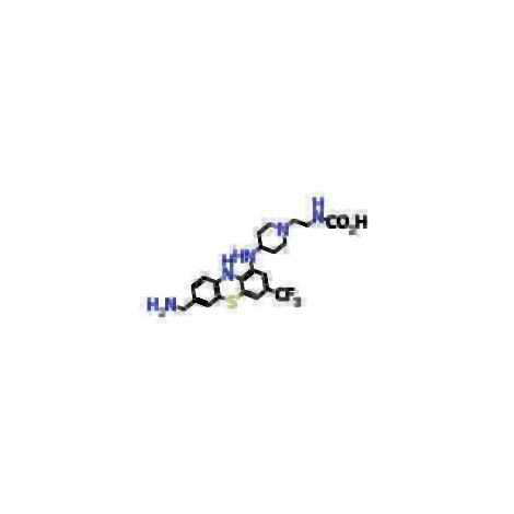 NCc1ccc2c(c1)Sc1cc(C(F)(F)F)cc(NC3CCN(CCNC(=O)O)CC3)c1N2